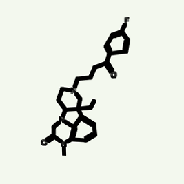 CCC12CN(CCCC(=O)c3ccc(F)cc3)CCC1N1CC(=O)N(C)c3cccc2c31